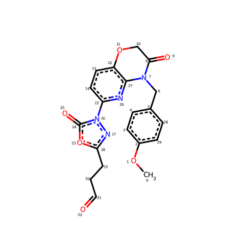 COc1ccc(CN2C(=O)COc3ccc(-n4nc(CCC=O)oc4=O)nc32)cc1